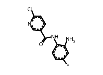 Nc1cc(F)ccc1NC(=O)c1ccc(Cl)nc1